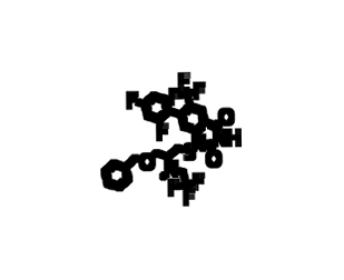 CN(CC(F)(F)F)C(COCc1ccccc1)CSn1c(=O)[nH]c(=O)c2cc(C(F)(F)F)c(-c3ccc(F)cc3F)cc21